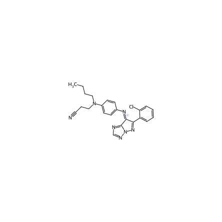 CCCCN(CCC#N)c1ccc(/N=C2/C(c3ccccc3Cl)=Nn3ncnc32)cc1